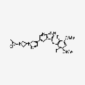 COc1cc(OC)c(F)c(Cc2c[nH]c3ncc(-c4cnn(C5CN(C6OC6C)C5)c4)cc23)c1F